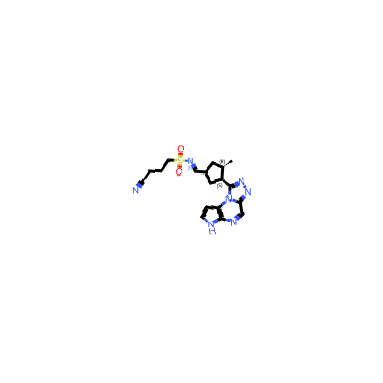 C[C@@H]1CC(/C=N/S(=O)(=O)CCCC#N)C[C@@H]1c1nnc2cnc3[nH]ccc3n12